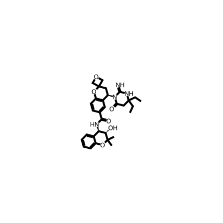 CCC1(CC)CC(=O)N([C@@H]2CC3(COC3)Oc3ccc(C(=O)N[C@@H]4c5ccccc5OC(C)(C)[C@H]4O)cc32)C(=N)N1